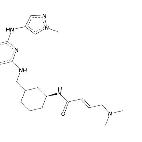 CN(C)C/C=C/C(=O)N[C@H]1CCCC(CNc2nc(Nc3cnn(C)c3)ncc2Cl)C1